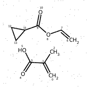 C=C(C)C(=O)O.C=COC(=O)C1CC1